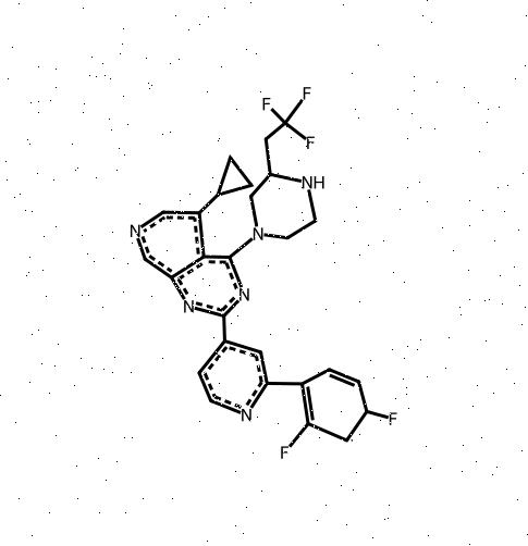 FC1=C(c2cc(-c3nc(N4CCNC(CC(F)(F)F)C4)c4c(C5CC5)cncc4n3)ccn2)C=CC(F)[CH]1